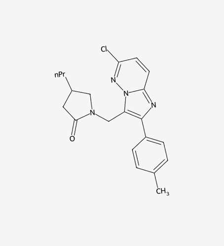 CCCC1CC(=O)N(Cc2c(-c3ccc(C)cc3)nc3ccc(Cl)nn23)C1